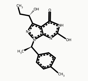 CC[C@H](O)c1nn([C@H](C)c2ccc(C)cc2)c2nc(O)[nH]c(=O)c12